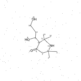 CC1(C)CC(=O)C(C(O)CCO)C(C)(C)N1